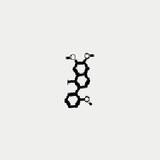 COc1cc2ccc(-c3ccccc3OC)c(I)c2cc1OC